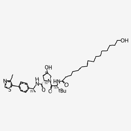 Cc1ncsc1-c1ccc([C@H](C)NC(=O)[C@@H]2C[C@@H](O)CN2C(=O)[C@@H](NC(=O)CCCCCCCCCCCCCCCO)C(C)(C)C)cc1